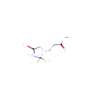 COC(=O)CCN1CC(=O)NC1(C)C